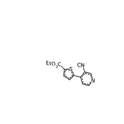 [C-]#[N+]c1cnccc1-c1ccc(C(=O)OCC)s1